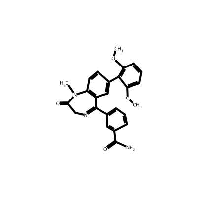 COc1cccc(OC)c1-c1ccc2c(c1)C(c1cccc(C(N)=O)c1)=NCC(=O)N2C